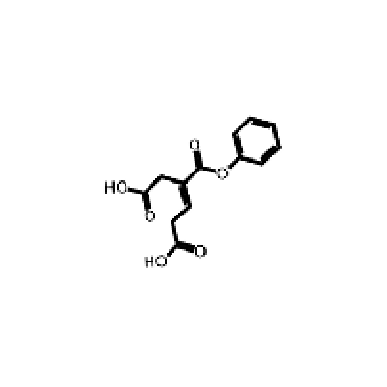 O=C(O)CC=C(CC(=O)O)C(=O)Oc1ccccc1